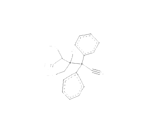 CCC(C)(C(C)N)C(C#N)(c1ccccc1)c1ccccc1